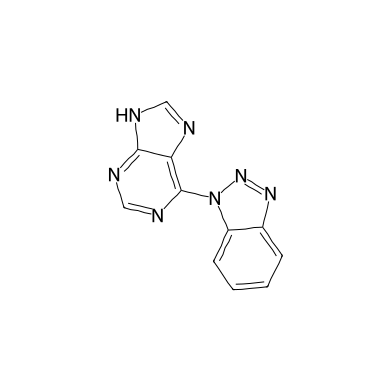 c1ccc2c(c1)nnn2-c1ncnc2[nH]cnc12